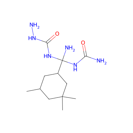 CC1CC(C(N)(NC(N)=O)NC(=O)NN)CC(C)(C)C1